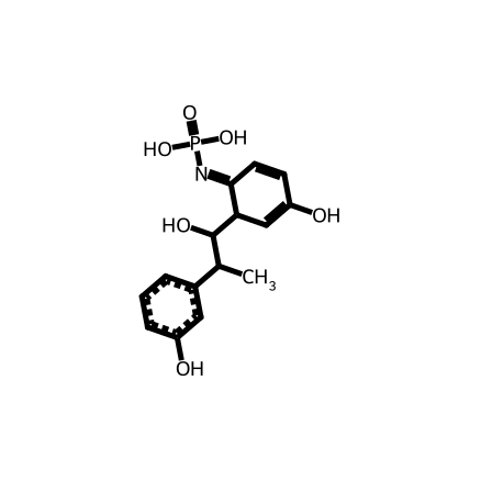 CC(c1cccc(O)c1)C(O)C1C=C(O)C=CC1=NP(=O)(O)O